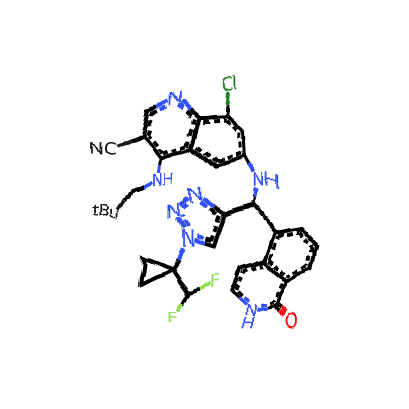 CC(C)(C)CNc1c(C#N)cnc2c(Cl)cc(N[C@H](c3cn(C4(C(F)F)CC4)nn3)c3cccc4c(=O)[nH]ccc34)cc12